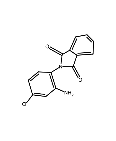 Nc1cc(Cl)ccc1N1C(=O)c2ccccc2C1=O